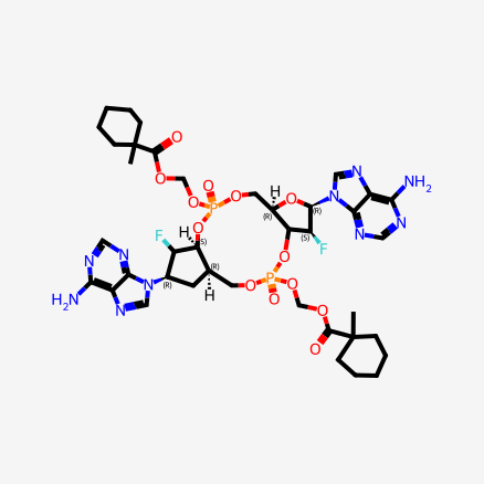 CC1(C(=O)OCOP2(=O)OC[C@H]3C[C@@H](n4cnc5c(N)ncnc54)C(F)[C@H]3OP(=O)(OCOC(=O)C3(C)CCCCC3)OC[C@H]3O[C@@H](n4cnc5c(N)ncnc54)[C@@H](F)C3O2)CCCCC1